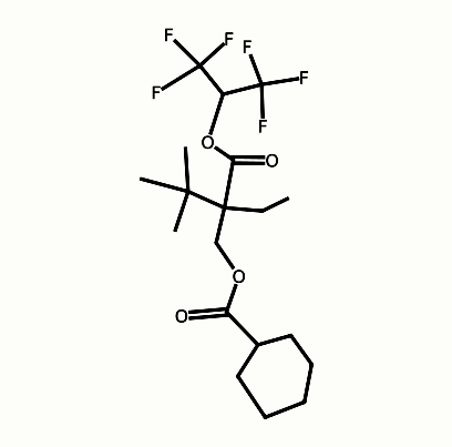 CCC(COC(=O)C1CCCCC1)(C(=O)OC(C(F)(F)F)C(F)(F)F)C(C)(C)C